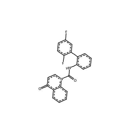 O=C(Nc1ccccc1-c1cc(F)ccc1F)n1ccc(=O)c2ccccc21